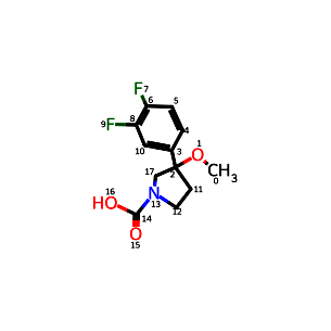 COC1(c2ccc(F)c(F)c2)CCN(C(=O)O)C1